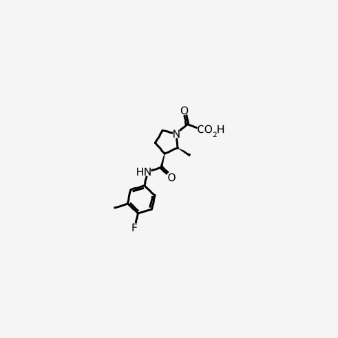 Cc1cc(NC(=O)[C@H]2CCN(C(=O)C(=O)O)[C@H]2C)ccc1F